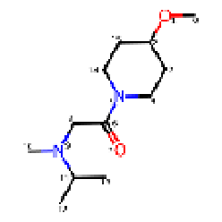 COC1CCN(C(=O)CN(C)C(C)C)CC1